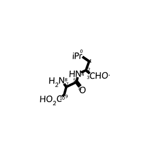 CC(C)CC([C]=O)NC(=O)C(N)CC(=O)O